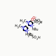 CCCC[n+]1ccn(C)c1.CCCC[n+]1ccn(C)c1.CS(=O)(=O)O.O=S(=O)([O-])O.O=[N+]([O-])[O-]